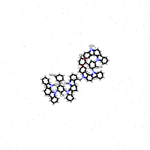 Cn1c2ccccc2c2c1ccc1c3ccccc3n(-c3cc(-c4cccc(C#N)c4)cc(-n4c5ccccc5c5ccc6c(c7ccccc7n6Cc6cccc7c6c6ccc8c9ccccc9n(-c9cc(-c%10cccc(C#N)c%10)cc(-n%10c%11ccccc%11c%11ccc%12c%13ccccc%13n(C)c%12c%11%10)c9C#N)c8c6n7C)c54)c3C#N)c12